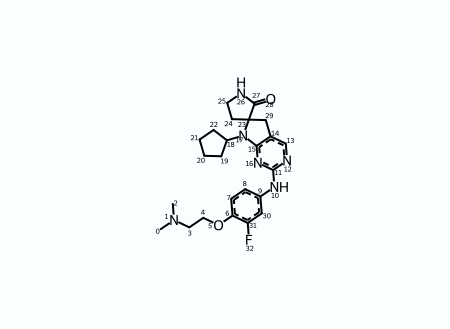 CN(C)CCOc1ccc(Nc2ncc3c(n2)N(C2CCCC2)C2(CCNC2=O)C3)cc1F